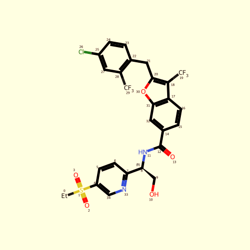 CCS(=O)(=O)c1ccc([C@H](CO)NC(=O)c2ccc3c(C(F)(F)F)c(Cc4ccc(Cl)cc4C(F)(F)F)oc3c2)nc1